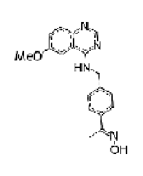 COc1ccc2ncnc(NCc3ccc(C(C)=NO)cc3)c2c1